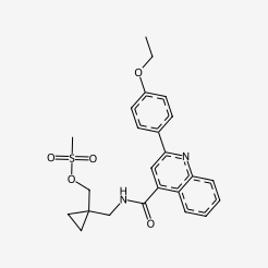 CCOc1ccc(-c2cc(C(=O)NCC3(COS(C)(=O)=O)CC3)c3ccccc3n2)cc1